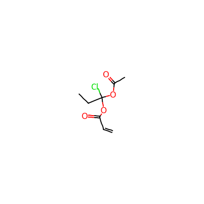 C=CC(=O)OC(Cl)(CC)OC(C)=O